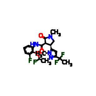 CC(F)Oc1c(F)cccc1NC(=O)[C@H]1C(=O)N(C)C[C@@H]1c1cc(C(C)(F)F)nn1C